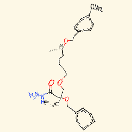 COc1ccc(CO[C@@H](C)CCCOCC(OCc2ccccc2)(C(=O)NN)C(F)(F)F)cc1